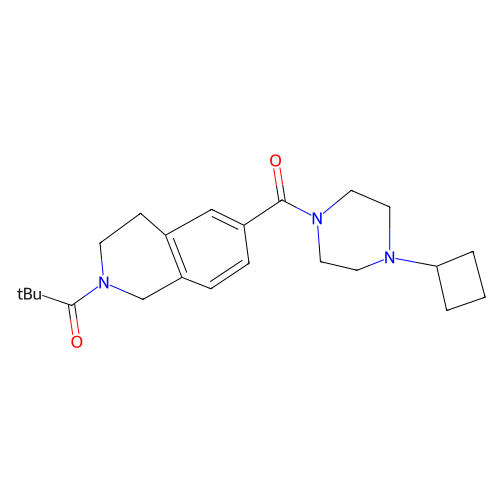 CC(C)(C)C(=O)N1CCc2cc(C(=O)N3CCN(C4CCC4)CC3)ccc2C1